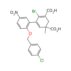 CC1(C(=O)O)C=C(c2cc([N+](=O)[O-])ccc2OCc2ccc(Cl)cc2)C(Br)=C(C(=O)O)C1